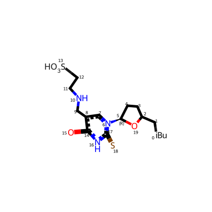 CCC(C)CC1CC[C@H](n2cc(CNCCS(=O)(=O)O)c(=O)[nH]c2=S)O1